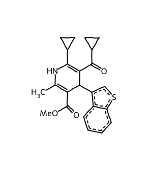 COC(=O)C1=C(C)NC(C2CC2)=C(C(=O)C2CC2)C1c1csc2ccccc12